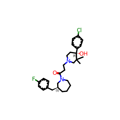 CC1(C)CN(CCC(=O)N2CCCC[C@@H](Cc3ccc(F)cc3)C2)CC[C@@]1(O)c1ccc(Cl)cc1